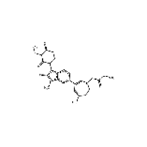 CCC1C(=O)CCC(n2c(=O)n(C)c3cc(C4=CN(CC(=O)OC)CCC(C)=C4)ccc32)C1=O